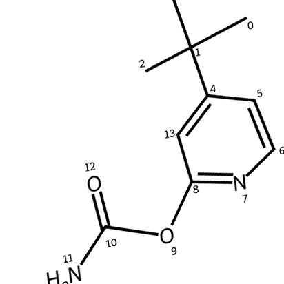 CC(C)(C)c1ccnc(OC(N)=O)c1